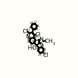 Cc1nc(C)c(C(O)(C2=CC3C(Cl)=C(c4ccccc4)C(Cl)=NC3C=C2)c2ccc(Cl)cc2)s1